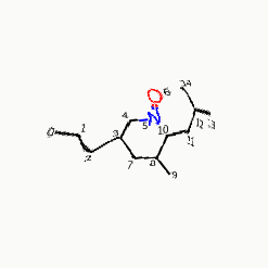 CCCC(CN=O)CC(C)CCC(C)C